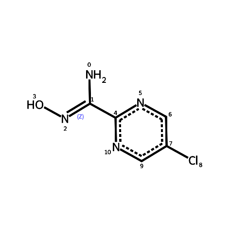 N/C(=N\O)c1ncc(Cl)cn1